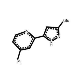 CC(C)c1ccnc(-c2cc(C(C)(C)C)n[nH]2)c1